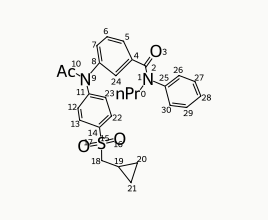 CCCN(C(=O)c1cccc(N(C(C)=O)c2ccc(S(=O)(=O)CC3CC3)cc2)c1)c1ccccc1